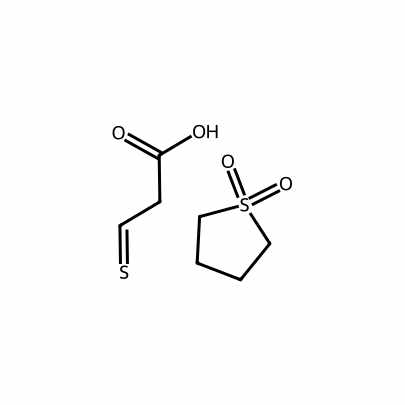 O=C(O)CC=S.O=S1(=O)CCCC1